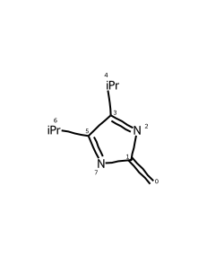 C=C1N=C(C(C)C)C(C(C)C)=N1